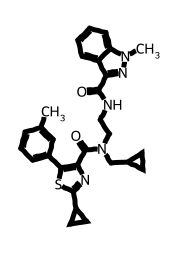 Cc1cccc(-c2sc(C3CC3)nc2C(=O)N(CCNC(=O)c2nn(C)c3ccccc23)CC2CC2)c1